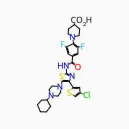 O=C(Nc1nc(-c2cc(Cl)cs2)c(N2CCN(C3CCCCC3)CC2)s1)c1cc(F)c(N2CCC(C(=O)O)CC2)c(F)c1